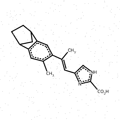 C/C(=C\c1c[nH]c(C(=O)O)n1)c1cc2c(cc1C)C1CCC2C1